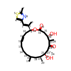 C/C(=C\c1csc(C)n1)[C@@H]1C/C=C\CCCC(C)C[C@H](C)[C@H](O)[C@@H](C)C(=O)C(C)[C@@H](O)CC(=O)O1